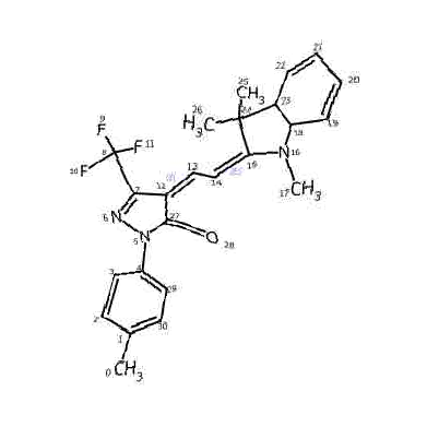 Cc1ccc(N2N=C(C(F)(F)F)/C(=C/C=C3/N(C)C4C=CC=CC4C3(C)C)C2=O)cc1